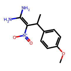 COc1ccc(C(C)C(=C(N)N)[N+](=O)[O-])cc1